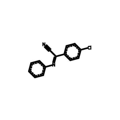 N#C/C(=N\c1ccccc1)c1ccc(Cl)cc1